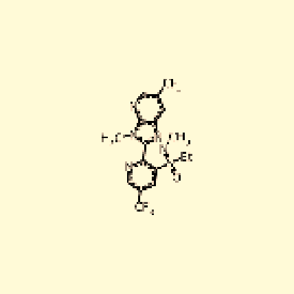 CCS(=O)(=NC)c1cc(C(F)(F)F)cnc1-c1nc2cc(C(F)(F)F)cnc2n1C